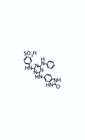 O=c1[nH]c2ccc(Nc3nc(Nc4ccccc4)nc(Nc4ccc(S(=O)(=O)O)cc4)n3)cc2[nH]1